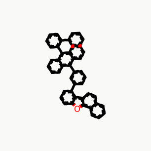 c1ccc(-c2ccccc2-c2c3ccccc3c(-c3cccc(-c4cccc5oc6c7ccccc7ccc6c45)c3)c3ccccc23)cc1